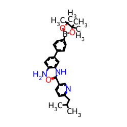 CC(C)Cc1ccc(C(=O)Nc2cc(-c3ccc(B4OC(C)(C)C(C)(C)O4)cc3)ccc2N)cn1